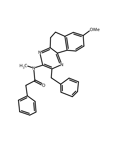 COc1ccc2c(c1)CCc1nc(N(C)C(=O)Cc3ccccc3)c(Cc3ccccc3)nc1-2